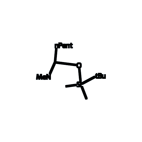 CCCCCC(NC)O[Si](C)(C)C(C)(C)C